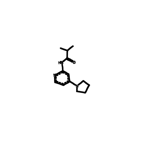 CC(C)C(=O)Nc1cc(N2CCCC2)ccn1